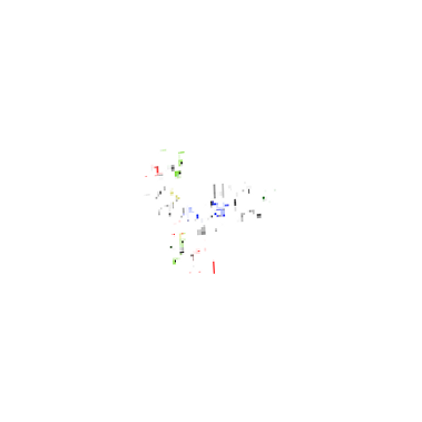 O=C(O)C(F)(F)F.O=C(c1ccc(C(=O)C(F)(F)F)s1)N1C[C@@H]2C[C@H]1CN2c1ccc(Cl)cc1